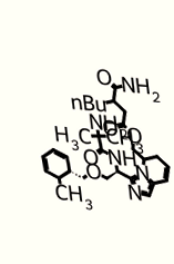 CCCCC(CC(=O)OCC1CC=Cc2cnc([C@@H](COC[C@H]3C=CC=CC3C)NC(=O)C(C)(C)N)n21)C(N)=O